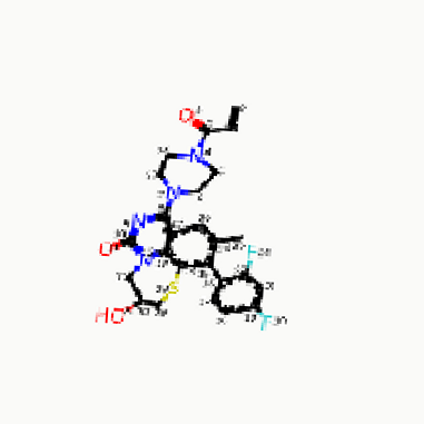 C=CC(=O)N1CCN(c2nc(=O)n3c4c(c(-c5ccc(F)cc5F)c(C)cc24)SCC(O)C3)CC1